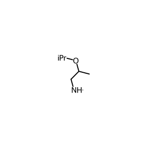 CC(C)OC(C)C[NH]